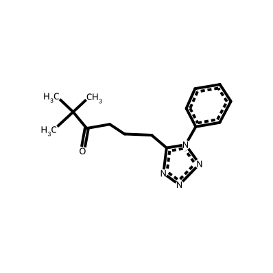 CC(C)(C)C(=O)CCCc1nnnn1-c1ccccc1